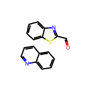 O=Cc1nc2ccccc2s1.c1ccc2ncccc2c1